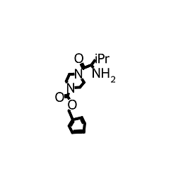 CC(C)C(N)C(=O)N1CCN(C(=O)OCc2ccccc2)CC1